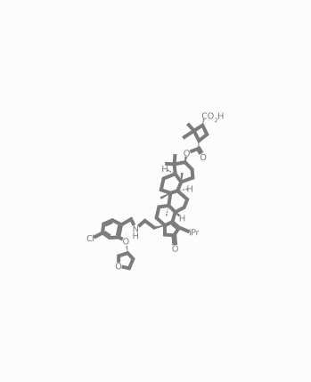 CC(C)C1=C2[C@H]3CC[C@@H]4[C@@]5(C)CC[C@H](OC(=O)[C@H]6C[C@@H](C(=O)O)C6(C)C)C(C)(C)[C@@H]5CC[C@@]4(C)[C@]3(C)CC[C@@]2(CCNCc2ccc(Cl)cc2O[C@@H]2CCOC2)CC1=O